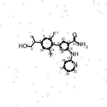 CC(CO)c1cc(F)c(-c2cc(C(N)=O)c(Nc3ccc[c]n3)s2)c(F)c1